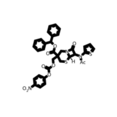 CC(=O)N(c1cccs1)C1C(=O)N2CC(COC(=O)Oc3ccc([N+](=O)[O-])cc3)(C(=O)OC(c3ccccc3)c3ccccc3)CS[C@H]12